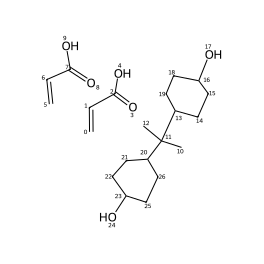 C=CC(=O)O.C=CC(=O)O.CC(C)(C1CCC(O)CC1)C1CCC(O)CC1